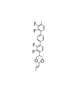 C/C=C/C1OCC(c2ccc(-c3ccc(-c4ccc(C)c(F)c4F)cc3)c(F)c2F)CO1